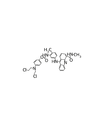 CNC(=O)c1cccc2c(Nc3ccc(C)c(NC(=O)Oc4ccc(N(CCCl)CCCl)cc4)c3)c3ccccc3nc12